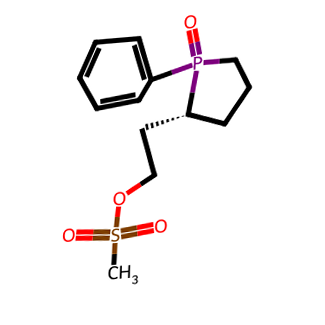 CS(=O)(=O)OCC[C@H]1CCCP1(=O)c1ccccc1